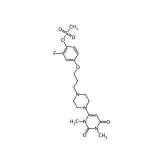 Cn1c(N2CCN(CCCOc3ccc(OS(C)(=O)=O)c(F)c3)CC2)cc(=O)n(C)c1=O